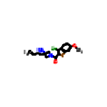 C=CCCC1(N)CN(C(=O)c2sc3cc(OC(F)(F)F)ccc3c2Cl)C1